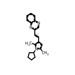 Cc1cc(/C=C/c2cnc3ccccc3n2)c(C)n1C1CCCC1